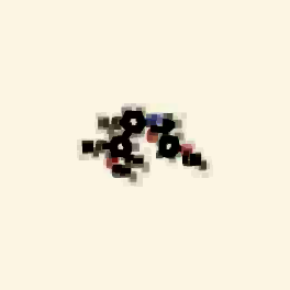 COc1cccc(C2(C(=O)Nc3ccc(C)c(-c4cc(C)c(OC)c(C)c4)c3)CC2)c1